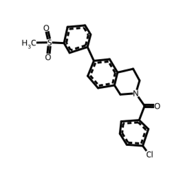 CS(=O)(=O)c1cccc(-c2ccc3c(c2)CCN(C(=O)c2cccc(Cl)c2)C3)c1